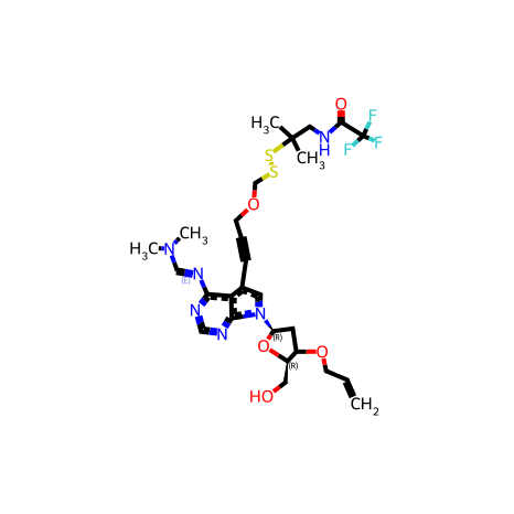 C=CCOC1C[C@H](n2cc(C#CCOCSSC(C)(C)CNC(=O)C(F)(F)F)c3c(/N=C/N(C)C)ncnc32)O[C@@H]1CO